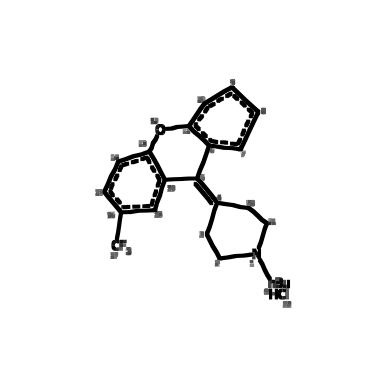 CCCCN1CCC(=C2c3ccccc3Oc3ccc(C(F)(F)F)cc32)CC1.Cl